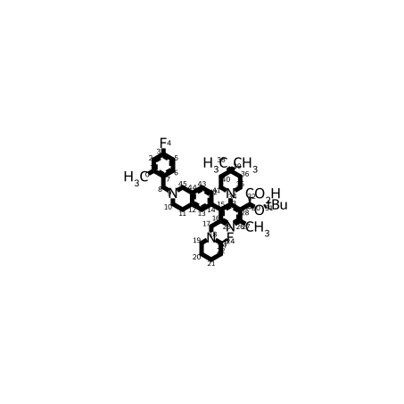 Cc1cc(F)ccc1CN1CCc2cc(-c3c(CN4CCCC[C@@H]4F)nc(C)c([C@H](OC(C)(C)C)C(=O)O)c3N3CCC(C)(C)CC3)ccc2C1